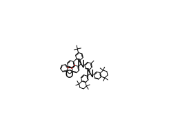 Cc1cc(N(c2ccc3c(c2)C(C)(C)CCC3(C)C)c2ccc3c(c2)C(C)(C)CCC3(C)C)cc(N(c2ccc3oc4ccccc4c3c2)c2ccc(C(C)(C)C)cc2-c2ccccc2)c1